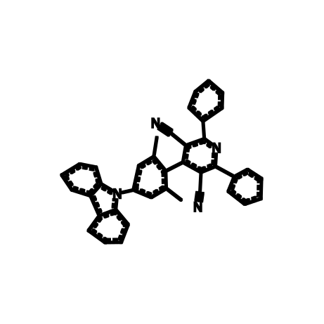 Cc1cc(-n2c3ccccc3c3ccccc32)cc(C)c1-c1c(C#N)c(-c2ccccc2)nc(-c2ccccc2)c1C#N